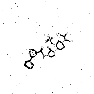 CC(C)N(C)[C@@H]1CC[C@H](N2CC[C@H](NC(=O)c3cncc(-c4ccccc4)n3)C2=O)[C@@H](CS(C)(=O)=O)C1